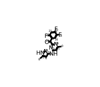 Cc1cc(Nc2cc(C)[nH]n2)nc(C(=O)c2cc(F)c(F)cc2F)n1